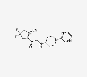 N#C[C@@H]1CC(F)(F)CN1C(=O)CNC1CCN(c2cnccn2)CC1